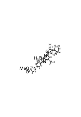 COC(=O)[C@H]1CCN(c2ccc(-c3nc4c(C5CC5)cc(C(=O)N5CCc6ccccc6[C@H]5C)nc4n3C)c(F)c2)C1